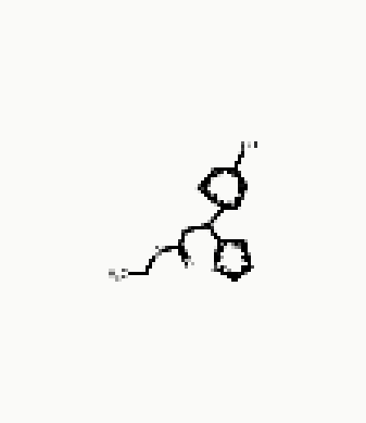 CCOC(=O)CC(c1ccc(O)cc1)c1cccs1